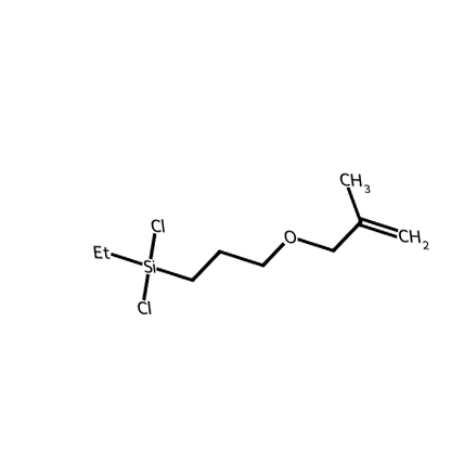 C=C(C)COCCC[Si](Cl)(Cl)CC